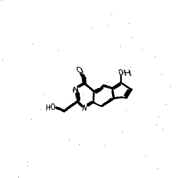 O=C1N=C(CO)N=c2cc3c(cc21)=C(O)C=C3